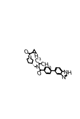 CC(C)N(C[C@@H]1CCN(C(=O)C2CC2)C1)C(=O)c1ccc(-c2ccc3[nH]cnc3c2)cc1